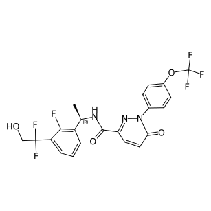 C[C@@H](NC(=O)c1ccc(=O)n(-c2ccc(OC(F)(F)F)cc2)n1)c1cccc(C(F)(F)CO)c1F